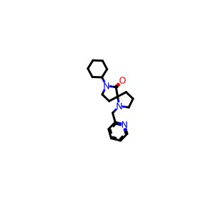 O=C1N(C2CCCCC2)CCC12CCCN2Cc1ccccn1